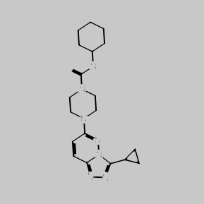 O=C(NC1CCCCC1)N1CCN(c2ccc3nnc(C4CC4)n3n2)CC1